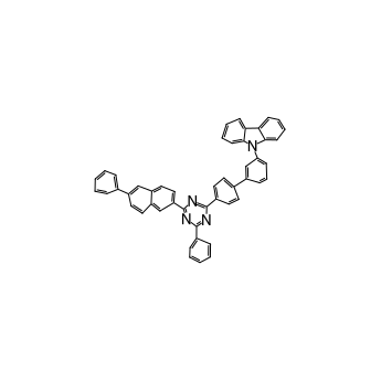 c1ccc(-c2ccc3cc(-c4nc(-c5ccccc5)nc(-c5ccc(-c6cccc(-n7c8ccccc8c8ccccc87)c6)cc5)n4)ccc3c2)cc1